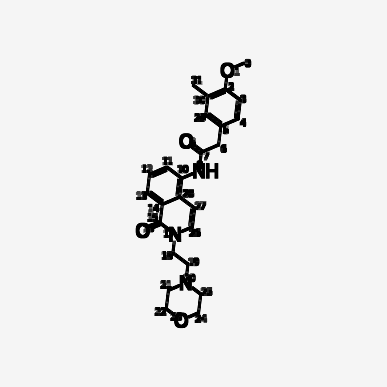 COc1ccc(CC(=O)Nc2cccc3c(=O)n(CCN4CCOCC4)ccc23)cc1C